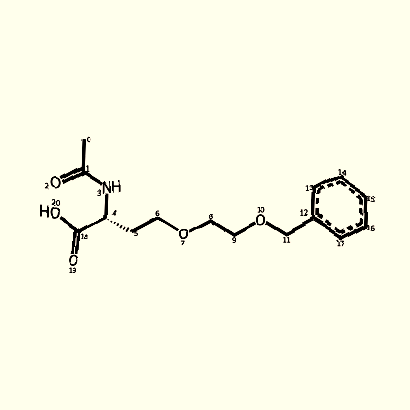 CC(=O)N[C@H](CCOCCOCc1ccccc1)C(=O)O